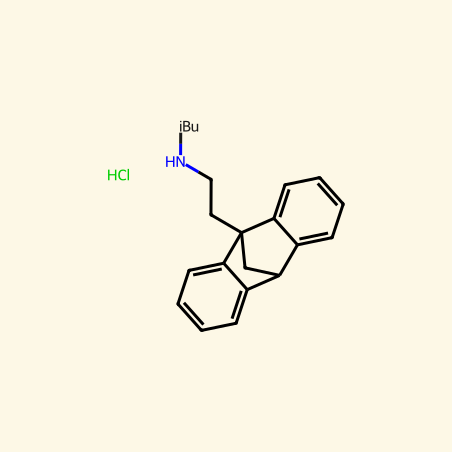 CCC(C)NCCC12CC(c3ccccc31)c1ccccc12.Cl